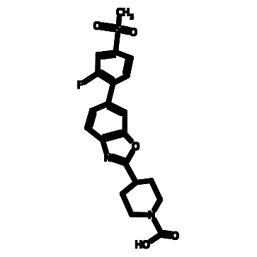 CS(=O)(=O)c1ccc(-c2ccc3nc(C4CCN(C(=O)O)CC4)oc3c2)c(F)c1